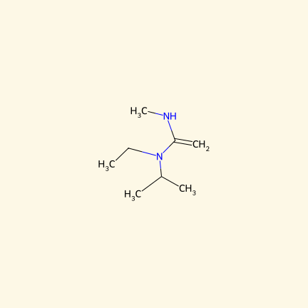 C=C(NC)N(CC)C(C)C